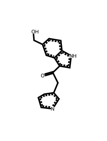 O=C(Cc1cccnc1)c1c[nH]c2ccc(CO)cc12